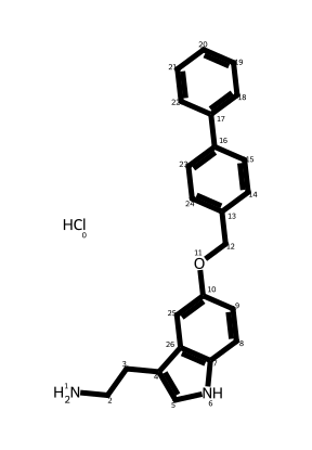 Cl.NCCc1c[nH]c2ccc(OCc3ccc(-c4ccccc4)cc3)cc12